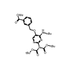 CCCCNc1nc(N(C(=O)OC(C)(C)C)C(=O)OC(C)(C)C)ncc1OCc1cccc(C(=O)OC)c1